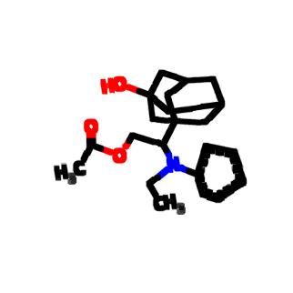 CCN(c1ccccc1)C(COC(C)=O)C12CC3CC(CC(O)(C3)C1)C2